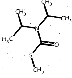 CSC(=O)N(C(C)C)C(C)C